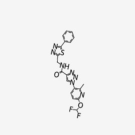 Cc1nc(OC(F)F)ccc1-n1cc(C(=O)NCc2nnc(-c3ccccc3)s2)nn1